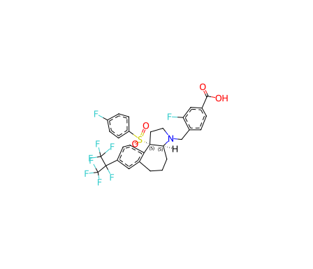 O=C(O)c1ccc(CN2CC[C@]3(S(=O)(=O)c4ccc(F)cc4)c4ccc(C(F)(C(F)(F)F)C(F)(F)F)cc4CCC[C@H]23)c(F)c1